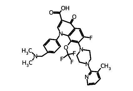 Cc1cccnc1N1CCN(c2c(F)cc3c(=O)c(C(=O)O)cn(-c4ccc(CN(C)C)cc4)c3c2OC(F)(F)F)CC1